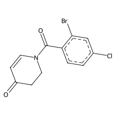 O=C1C=CN(C(=O)c2ccc(Cl)cc2Br)CC1